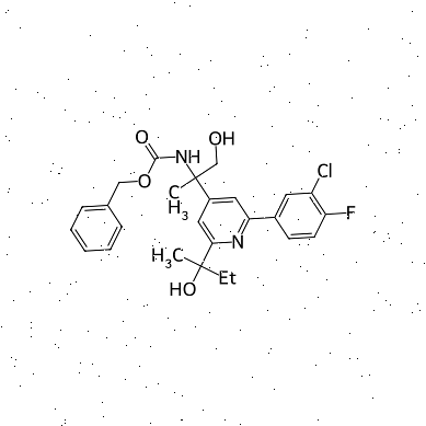 CCC(C)(O)c1cc(C(C)(CO)NC(=O)OCc2ccccc2)cc(-c2ccc(F)c(Cl)c2)n1